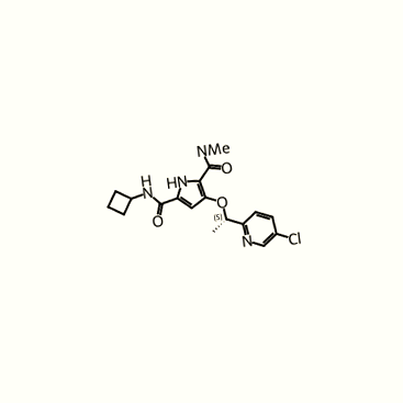 CNC(=O)c1[nH]c(C(=O)NC2CCC2)cc1O[C@@H](C)c1ccc(Cl)cn1